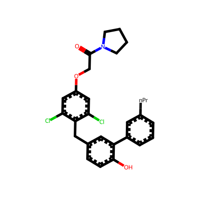 CCCc1cccc(-c2cc(Cc3c(Cl)cc(OCC(=O)N4CCCC4)cc3Cl)ccc2O)c1